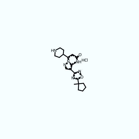 CC1(c2nc(-c3cnn4c(C5CCNCC5)cc(=O)[nH]c34)no2)CCCC1.Cl